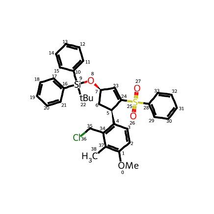 COc1ccc([C@H]2C[C@@H](O[Si](c3ccccc3)(c3ccccc3)C(C)(C)C)C=C2S(=O)(=O)c2ccccc2)c(CCl)c1C